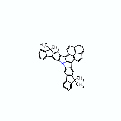 CC1(C)c2ccccc2-c2cc3c(cc21)c1c2ccc4cccc5ccc(c2c45)c2c4cc5c(cc4n3c12)-c1ccccc1C5(C)C